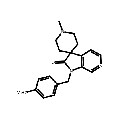 COc1ccc(CN2C(=O)C3(CCN(C)CC3)c3ccncc32)cc1